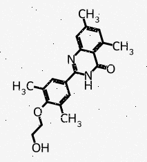 Cc1cc(C)c2c(=O)[nH]c(-c3cc(C)c(OCCO)c(C)c3)nc2c1